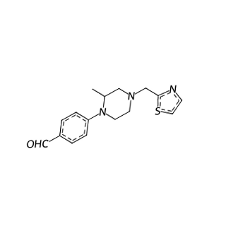 CC1CN(Cc2nccs2)CCN1c1ccc(C=O)cc1